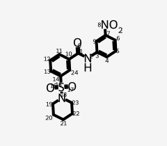 O=C(Nc1cccc([N+](=O)[O-])c1)c1cccc(S(=O)(=O)N2CCCCC2)c1